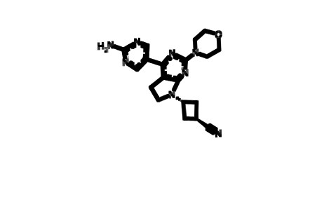 N#C[C@H]1C[C@H](N2CCc3c(-c4cnc(N)nc4)nc(N4CCOCC4)nc32)C1